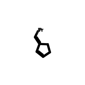 CC(C)C=C1C=CCC1